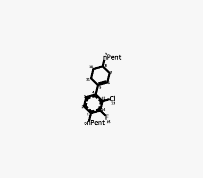 CCCCCc1ccc(C2=CCC(CCCCC)CC2)c(Cl)c1F